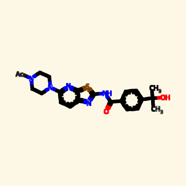 CC(=O)N1CCN(c2ccc3nc(NC(=O)c4ccc(C(C)(C)O)cc4)sc3n2)CC1